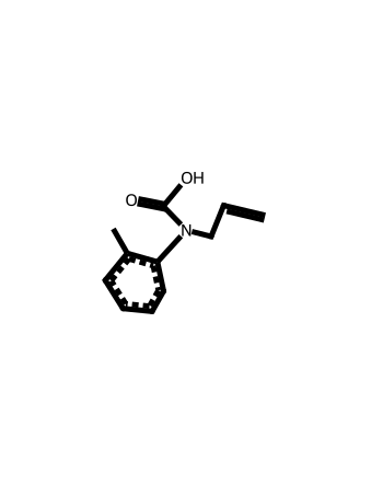 C=CCN(C(=O)O)c1ccccc1C